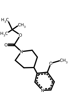 COc1ccncc1C1CCN(C(=O)OC(C)(C)C)CC1